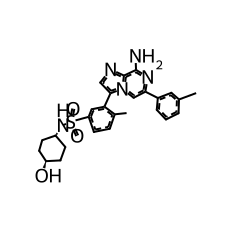 Cc1cccc(-c2cn3c(-c4cc(S(=O)(=O)N[C@H]5CC[C@H](O)CC5)ccc4C)cnc3c(N)n2)c1